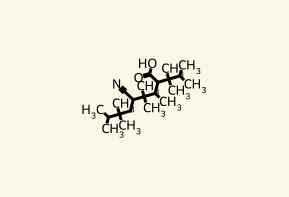 CC(C)C(C)(C)CC(C#N)C(C)(C)C(C)C(C(=O)O)C(C)(C)C(C)C